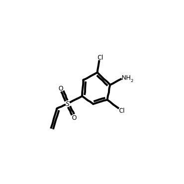 C=CS(=O)(=O)c1cc(Cl)c(N)c(Cl)c1